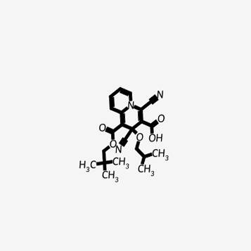 CC(C)COC1(C#N)C(C(=O)O)=C(C#N)N2C=CC=CC2=C1C(=O)OCC(C)(C)C